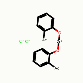 CC(=O)c1ccccc1[O][Zr+2][O]c1ccccc1C(C)=O.[Cl-].[Cl-]